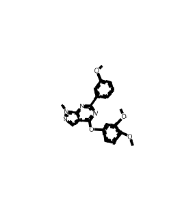 COc1cccc(-c2nc(Oc3ccc(OC)c(OC)c3)c3cnn(C)c3n2)c1